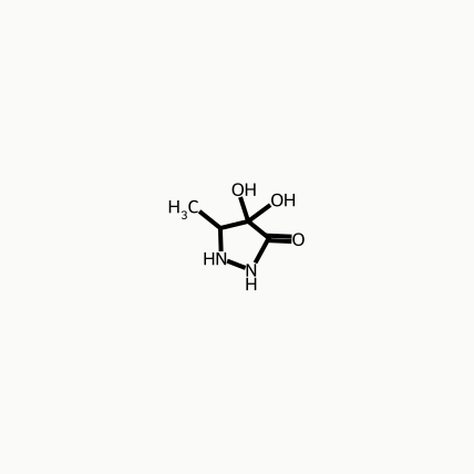 CC1NNC(=O)C1(O)O